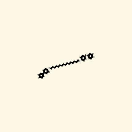 [CH](CCCCCCCCOc1ccc(-c2ccccc2)cc1)CCCCCCCOc1ccc(Oc2ccccc2)cc1